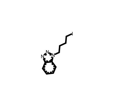 ICCCCn1nnc2ccccc21